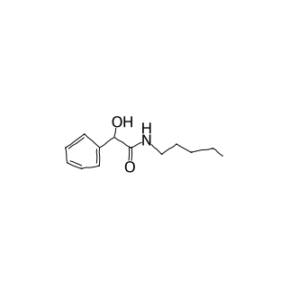 CCCCCNC(=O)C(O)c1ccccc1